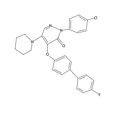 O=c1c(Oc2ccc(-c3ccc(F)cc3)cc2)c(N2CCCCC2)cnn1-c1ccc(Cl)cc1